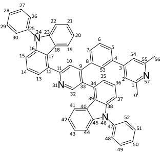 Cc1cc(-c2cccc(-c3cc(-c4cccc5c4c4ccccc4n5-c4ccccc4)ncc3-c3cccc4c3c3ccccc3n4-c3ccccc3)c2)cc(C)n1